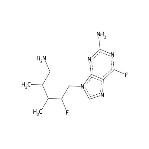 CC(CN)C(C)C(F)Cn1cnc2c(F)nc(N)nc21